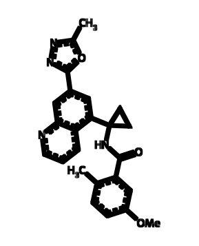 COc1ccc(C)c(C(=O)NC2(c3cc(-c4nnc(C)o4)cc4ncccc34)CC2)c1